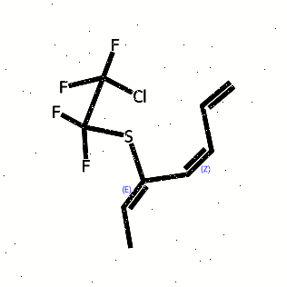 C=C/C=C\C(=C/C)SC(F)(F)C(F)(F)Cl